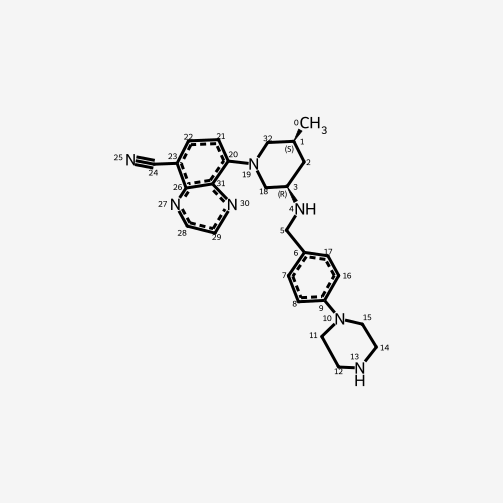 C[C@H]1C[C@@H](NCc2ccc(N3CCNCC3)cc2)CN(c2ccc(C#N)c3nccnc23)C1